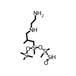 CC(CNCCN)C[Si](C)(O[Si](C)(C)C)O[Si](C)(C)[SiH]=O